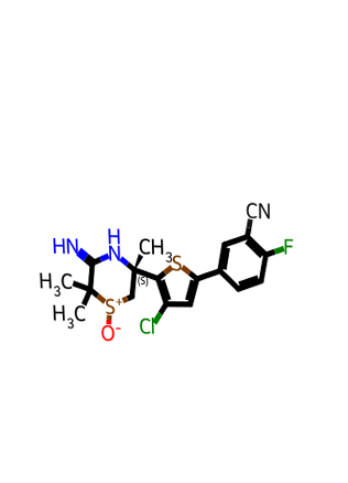 CC1(C)C(=N)N[C@](C)(c2sc(-c3ccc(F)c(C#N)c3)cc2Cl)C[S+]1[O-]